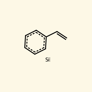 C=Cc1ccccc1.[Si]